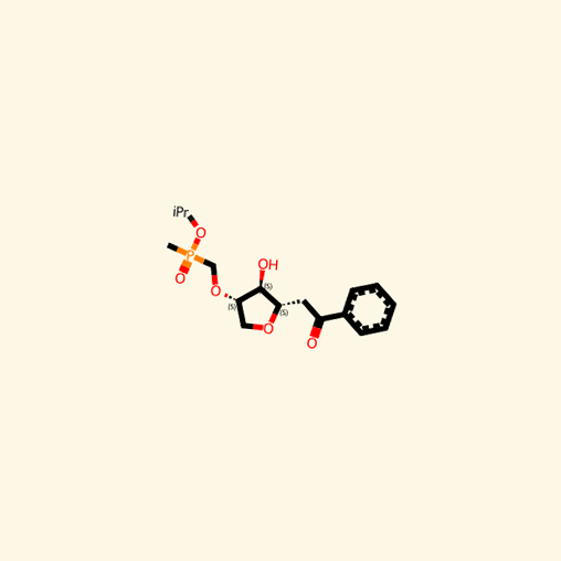 CC(C)OP(C)(=O)CO[C@H]1CO[C@@H](CC(=O)c2ccccc2)[C@@H]1O